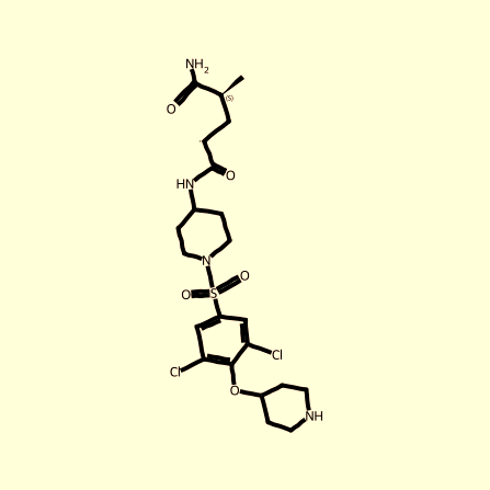 C[C@@H](C[CH]C(=O)NC1CCN(S(=O)(=O)c2cc(Cl)c(OC3CCNCC3)c(Cl)c2)CC1)C(N)=O